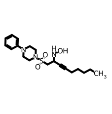 CCCCCC#CC(CS(=O)(=O)N1CCN(c2ccccc2)CC1)NO